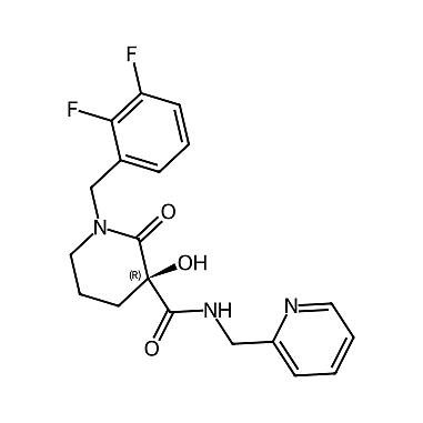 O=C(NCc1ccccn1)[C@]1(O)CCCN(Cc2cccc(F)c2F)C1=O